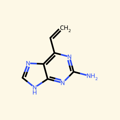 C=Cc1nc(N)nc2[nH]cnc12